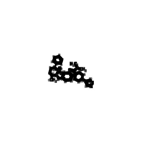 C[C@H]1CC[C@H](c2ccccc2)S(=O)(=O)N1Cc1ccc(C2(C(=O)N(C)C)CCC(n3cnnc3)CC2)cc1